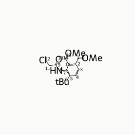 COCc1ccc(C(C)(C)C)c(NC(=O)CCl)c1COC